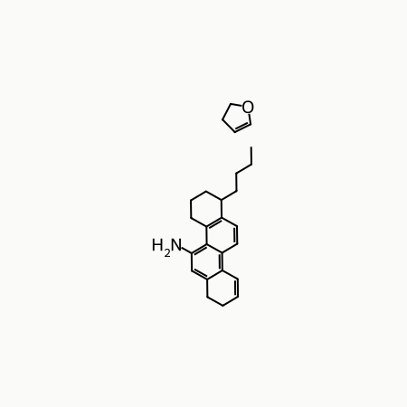 C1=COCC1.CCCCC1CCCc2c1ccc1c3c(cc(N)c21)CCC=C3